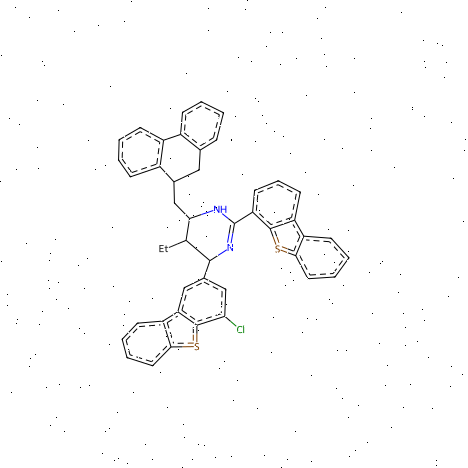 CCC1C(CC2Cc3ccccc3-c3ccccc32)NC(c2cccc3c2sc2ccccc23)=NC1c1cc(Cl)c2sc3ccccc3c2c1